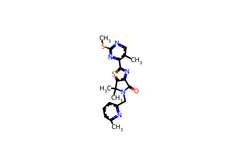 CSc1ncc(C)c(-c2nc3c(s2)C(C)(C)N(Cc2cccc(C)n2)C3=O)n1